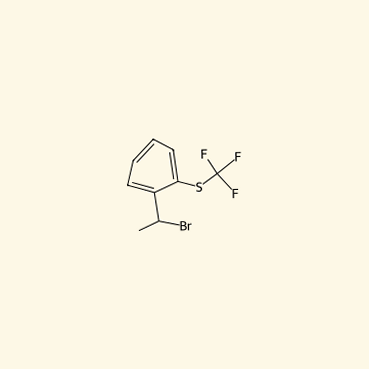 CC(Br)c1ccccc1SC(F)(F)F